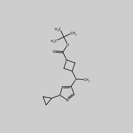 CN(c1cnn(C2CC2)c1)C1CN(C(=O)OC(C)(C)C)C1